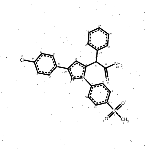 CS(=O)(=O)c1ccc(-n2nc(-c3ccc(Cl)cc3)cc2C(C(N)=O)c2ccccc2)cc1